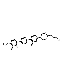 C=CCCC1OCC(c2ccc(-c3ccc(-c4ccc(C)c(F)c4F)cc3)c(F)c2)CO1